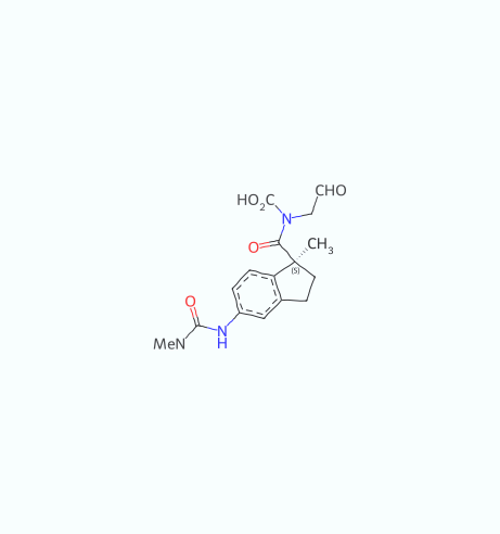 CNC(=O)Nc1ccc2c(c1)CC[C@]2(C)C(=O)N(CC=O)C(=O)O